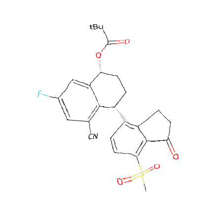 CC(C)(C)C(=O)O[C@@H]1CC[C@H](c2ccc(S(C)(=O)=O)c3c2CCC3=O)c2c(C#N)cc(F)cc21